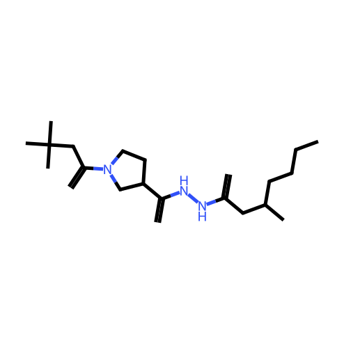 C=C(CC(C)CCCC)NNC(=C)C1CCN(C(=C)CC(C)(C)C)C1